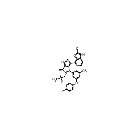 CC(F)(F)CN1C(=O)c2[nH]nc(-c3cccc4[nH]c(=O)oc34)c2C1c1cc(Oc2ccc(F)cc2)cc(C(F)(F)F)c1